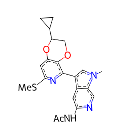 CSc1cc2c(c(-c3cn(C)c4cnc(NC(C)=O)cc34)n1)OCC(C1CC1)O2